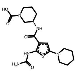 NC(=O)Nc1sc(N2CCCCC2)cc1C(=O)N[C@H]1CCCN(C(=O)O)C1